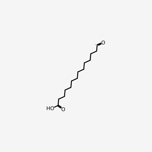 O=[C]CCCCCCCCCCCCC(=O)O